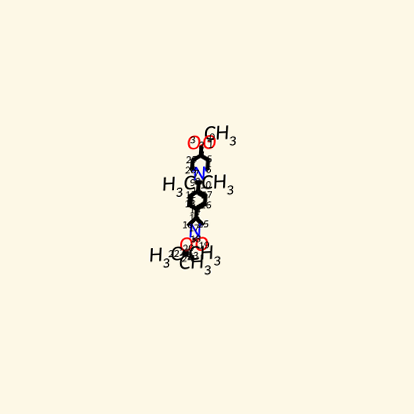 COC(=O)C1CCN(C(C)(C)c2ccc(C3CN(C(=O)OC(C)(C)C)C3)cc2)CC1